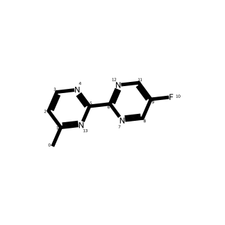 Cc1ccnc(-c2ncc(F)cn2)n1